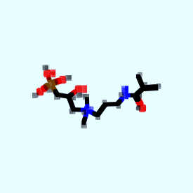 C=C(C)C(=O)NCCC[N+](C)(C)CC(O)CS(=O)(=O)O